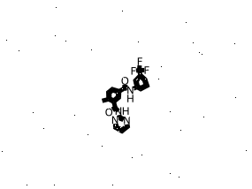 Cc1ccc(C(=O)Nc2cccc(C(F)(F)F)c2)cc1C(=O)Nc1ncccn1